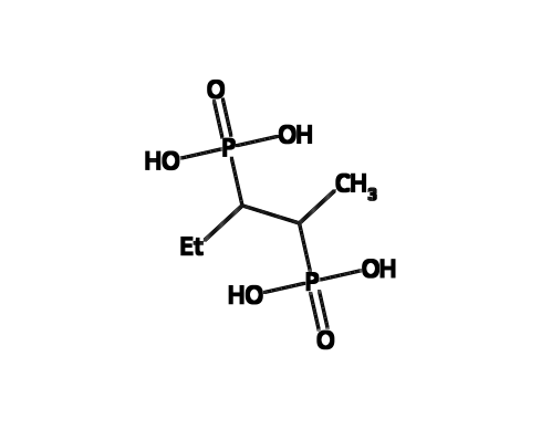 CCC(C(C)P(=O)(O)O)P(=O)(O)O